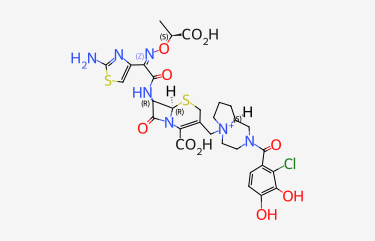 C[C@H](O/N=C(\C(=O)N[C@@H]1C(=O)N2C(C(=O)O)=C(C[N+]34CCC[C@H]3CN(C(=O)c3ccc(O)c(O)c3Cl)CC4)CS[C@H]12)c1csc(N)n1)C(=O)O